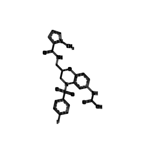 Cn1cccc1C(=O)NCC1CN(S(=O)(=O)c2ccc(F)cc2)c2cc(NC(=O)O)ccc2O1